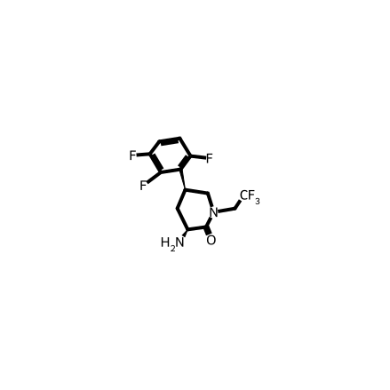 N[C@H]1C[C@@H](c2c(F)ccc(F)c2F)CN(CC(F)(F)F)C1=O